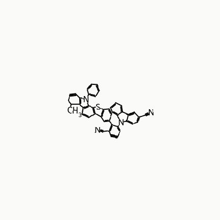 CC1CC#Cc2c1c1ccc3c4cc(-c5c(C#N)c#ccc5-n5c6ccccc6c6cc(C#N)ccc65)ccc4sc3c1n2-c1ccccc1